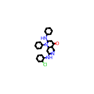 O=c1cc(Nc2ccccc2)n(-c2ccccc2)c2cc(Nc3ccccc3Cl)ncc12